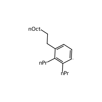 CCCCCCCCCCc1cc[c]c(CCC)c1CCC